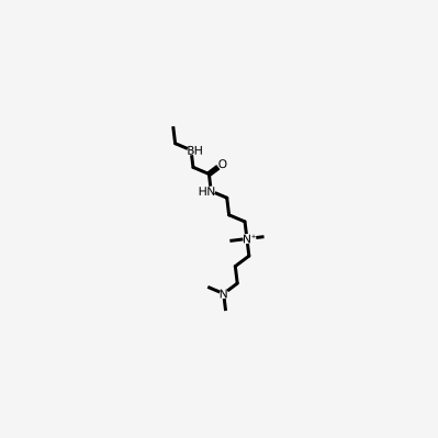 CCBCC(=O)NCCC[N+](C)(C)CCCN(C)C